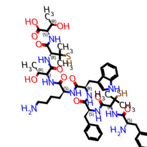 C[C@@H](O)[C@H](NC(=O)[C@@H](NC(=O)[C@@H](NC(=O)[C@H](CCCCN)NC(=O)[C@@H](Cc1c[nH]c2ccccc12)NC(=O)[C@H](Cc1ccccc1)NC(=O)[C@@H](NC(=O)[C@@H](N)Cc1ccccc1)C(C)(C)S)[C@@H](C)O)C(C)(C)S)C(=O)O